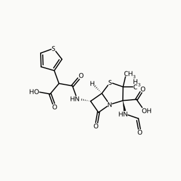 CC1(C)S[C@@H]2[C@@H](NC(=O)C(C(=O)O)c3ccsc3)C(=O)N2[C@@]1(NC=O)C(=O)O